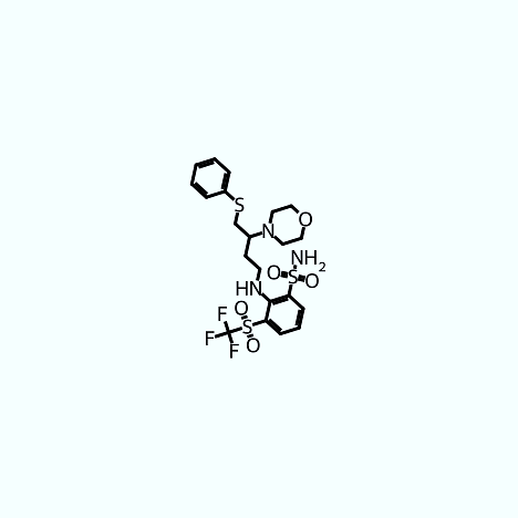 NS(=O)(=O)c1cccc(S(=O)(=O)C(F)(F)F)c1NCCC(CSc1ccccc1)N1CCOCC1